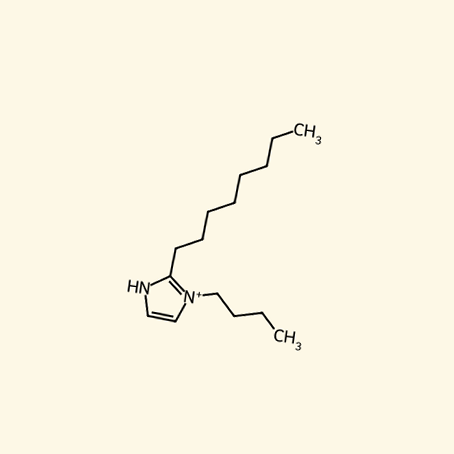 CCCCCCCCc1[nH]cc[n+]1CCCC